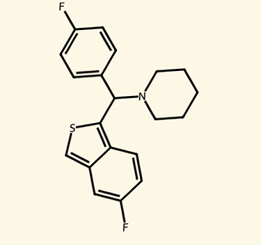 Fc1ccc(C(c2scc3cc(F)ccc23)N2CCCCC2)cc1